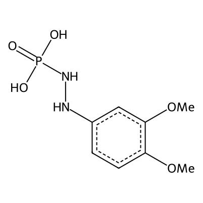 COc1ccc(NNP(=O)(O)O)cc1OC